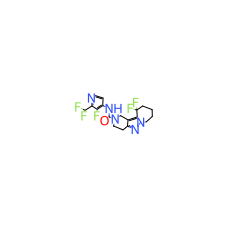 O=C(Nc1ccnc(C(F)F)c1F)N1CCc2nn3c(c2C1)C(F)(F)CCCC3